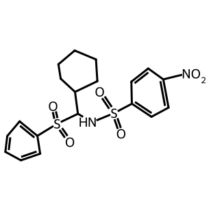 O=[N+]([O-])c1ccc(S(=O)(=O)NC(C2CCCCC2)S(=O)(=O)c2ccccc2)cc1